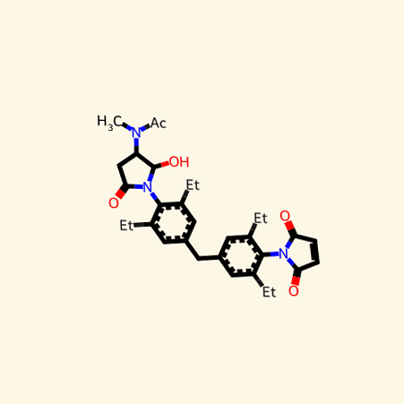 CCc1cc(Cc2cc(CC)c(N3C(=O)CC(N(C)C(C)=O)C3O)c(CC)c2)cc(CC)c1N1C(=O)C=CC1=O